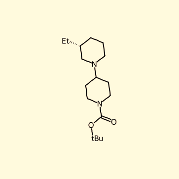 CC[C@@H]1CCCN(C2CCN(C(=O)OC(C)(C)C)CC2)C1